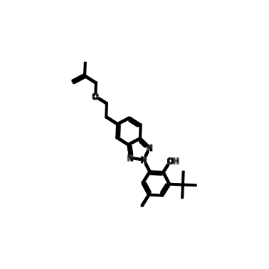 C=C(C)COCCc1ccc2nn(-c3cc(C)cc(C(C)(C)C)c3O)nc2c1